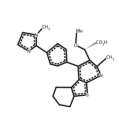 Cc1nc2sc3c(c2c(-c2ccc(-c4nccn4C)cc2)c1[C@H](OC(C)(C)C)C(=O)O)CCCC3